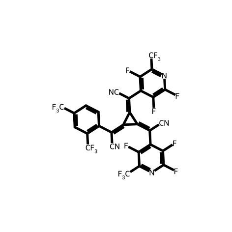 N#CC(=C1C(=C(\C#N)c2ccc(C(F)(F)F)cc2C(F)(F)F)/C1=C(\C#N)c1c(F)c(F)nc(C(F)(F)F)c1F)c1c(F)c(F)nc(C(F)(F)F)c1F